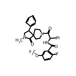 CC(C)C(NC(=O)c1cc(OC(F)(F)F)ccc1F)C(=O)N1CCC2(CC1)C(=O)N(C)CC2c1ccccc1